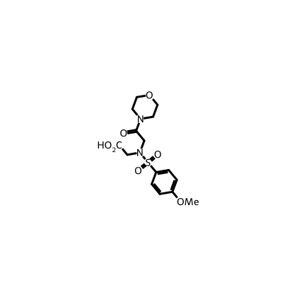 COc1ccc(S(=O)(=O)N(CC(=O)O)CC(=O)N2CCOCC2)cc1